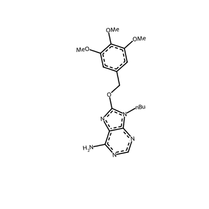 CCCCn1c(OCc2cc(OC)c(OC)c(OC)c2)nc2c(N)ncnc21